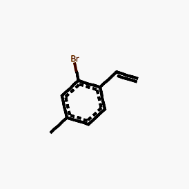 C=Cc1ccc(C)cc1Br